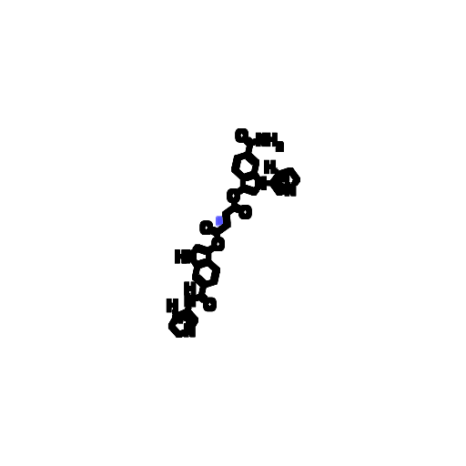 NC(=O)c1ccc2c(OC(=O)/C=C/C(=O)Oc3c[nH]c4cc(C(=O)NC5CN6CC[C@H]5C6)ccc34)cn(C3CN4CC[C@H]3C4)c2c1